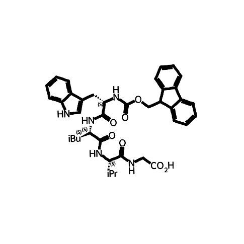 CC[C@H](C)[C@H](NC(=O)[C@H](Cc1c[nH]c2ccccc12)NC(=O)OCC1c2ccccc2-c2ccccc21)C(=O)N[C@H](C(=O)NCC(=O)O)C(C)C